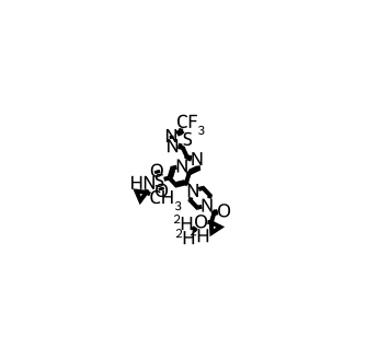 [2H]C([2H])([2H])OC1(C(=O)N2CCN(c3cc(S(=O)(=O)NC4(C)CC4)cn4c(-c5nnc(C(F)(F)F)s5)ncc34)CC2)CC1